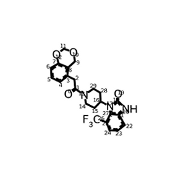 O=C(Cc1cccc2c1COCO2)N1CCC(n2c(=O)[nH]c3cccc(C(F)(F)F)c32)CC1